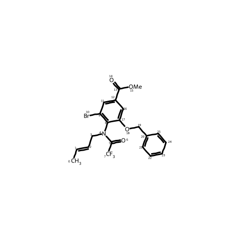 CC=CCN(C(=O)C(F)(F)F)c1c(Br)cc(C(=O)OC)cc1OCc1ccccc1